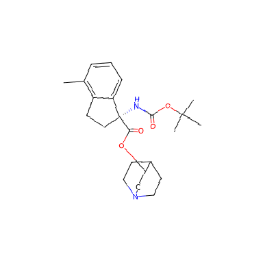 Cc1cccc2c1CC[C@]2(NC(=O)OC(C)(C)C)C(=O)OC1CN2CCC1CC2